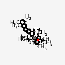 Cl.Cl.[CH2]=[Zr]([CH3])([C]1=CC(C(C)(C)C)=CC1CC)([c]1ccc(C)cc1)[CH]1C=C(C)c2cc3c(cc2C1(C)C)Cc1cc2c(cc1-3)C(C)=CCC2(C)C